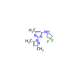 Cc1cc(NC2CCC(F)(F)C2)nc(-n2nc(C)cc2C)n1